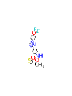 CC(OC(=O)Nc1ccc(-c2ncn(-c3ccc(OC(F)(F)F)cc3)n2)cc1)c1ccsc1